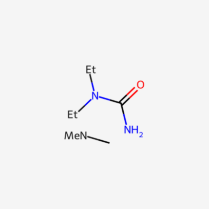 CCN(CC)C(N)=O.CNC